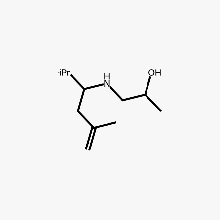 C=C(C)CC(NCC(C)O)[C](C)C